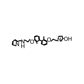 Cc1c(OCCCNCc2ccccn2)cccc1-c1cccc(OCCCN2CC[C@@H](O)C2)c1C